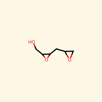 OCC1OC1CC1CO1